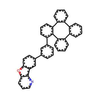 c1cc(-c2ccc3oc4cccnc4c3c2)cc(-c2cccc3c2-c2ccccc2-c2ccccc2-c2ccccc2-3)c1